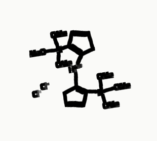 CO[Si](OC)(OC)C1=[C]([Hf+2][C]2=C([Si](OC)(OC)OC)C=CC2)CC=C1.[Cl-].[Cl-]